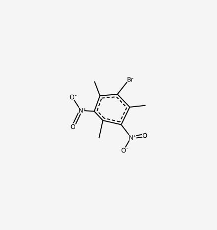 Cc1c(Br)c(C)c([N+](=O)[O-])c(C)c1[N+](=O)[O-]